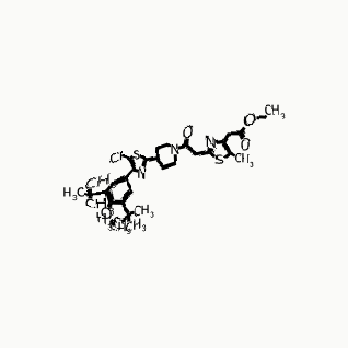 CCOC(=O)Cc1nc(CC(=O)N2CCC(c3nc(-c4cc(C(C)(C)C)c(OC)c(C(C)(C)C)c4)c(Cl)s3)CC2)sc1C